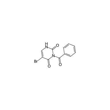 O=C(c1ccccc1)n1c(=O)[nH]cc(Br)c1=O